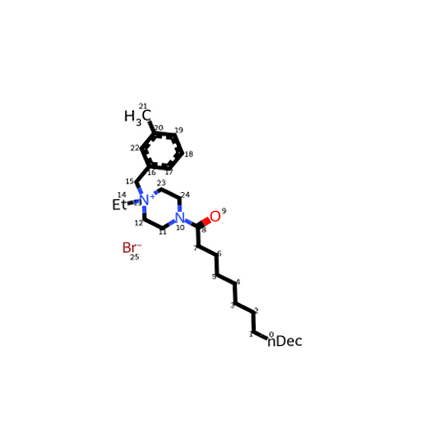 CCCCCCCCCCCCCCCCCC(=O)N1CC[N+](CC)(Cc2cccc(C)c2)CC1.[Br-]